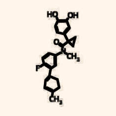 CC1=CC=C(c2cc(N(C)C(=O)C3(c4ccc(O)c(O)c4)CC3)ccc2F)CC1